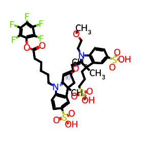 COCCN1/C(=C/C=C/C2=[N+](CCCCCC(=O)Oc3c(F)c(F)c(F)c(F)c3F)c3ccc(S(=O)(=O)O)cc3C2(C)CCOC)C(C)(CCCS(=O)(=O)O)c2cc(S(=O)(=O)O)ccc21